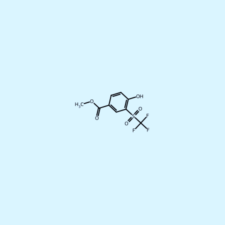 COC(=O)c1ccc(O)c(S(=O)(=O)C(F)(F)F)c1